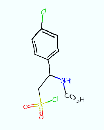 O=C(O)NC(CS(=O)(=O)Cl)c1ccc(Cl)cc1